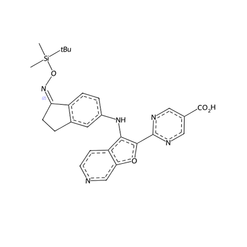 CC(C)(C)[Si](C)(C)O/N=C1/CCc2cc(Nc3c(-c4ncc(C(=O)O)cn4)oc4cnccc34)ccc21